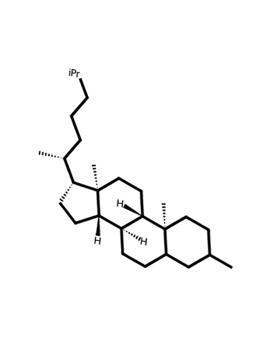 CC(C)CCC[C@@H](C)[C@H]1CC[C@H]2[C@@H]3CCC4CC(C)CC[C@]4(C)[C@H]3CC[C@]12C